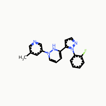 Cc1cncc(N2C=CC=C(c3ccnn3-c3ccccc3F)N2)c1